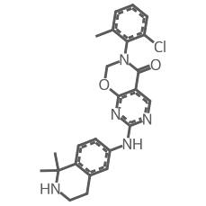 Cc1cccc(Cl)c1N1COc2nc(Nc3ccc4c(c3)CCNC4(C)C)ncc2C1=O